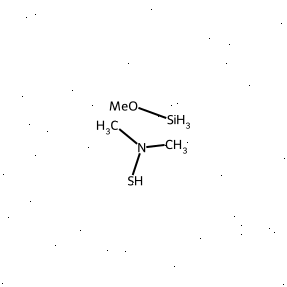 CN(C)S.CO[SiH3]